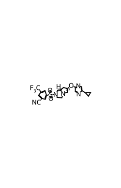 N#Cc1cc(C(F)(F)F)cc(S(=O)(=O)N2CCN3C[C@H](Oc4cnc(C5CC5)cn4)C[C@H]3C2)c1